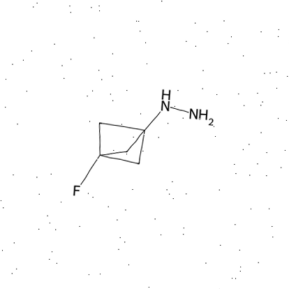 NNC12CC(F)(C1)C2